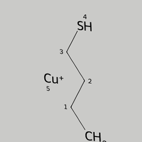 CCCCS.[Cu+]